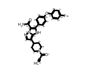 C#CC(=O)N1CCC(c2cnn3c(C(N)=O)c(-c4ccc(Oc5ccc(F)cc5)cc4)[nH]c23)CC1